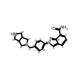 NC(=O)c1cccc2cn(-c3ccc(CN4CC5CNCC5C4)cc3)nc12